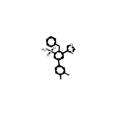 Cc1ccc(-c2cc(-c3cocn3)c(Cc3ccccc3)c(S(N)(=O)=O)c2)cc1F